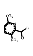 O=[N+]([O-])c1ccc(C(Cl)(Cl)Cl)nc1C(Cl)Cl